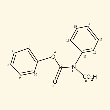 O=C(O)N(C(=O)Oc1ccccc1)c1ccccc1